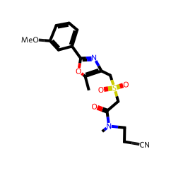 COc1cccc(-c2nc(CS(=O)(=O)CC(=O)N(C)CCC#N)c(C)o2)c1